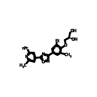 CCCc1cc(-c2nc(-c3cc(C)c(OC[C@@H](O)CO)c(CC)c3)no2)cc(C)n1